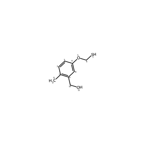 Cc1ccc(OCS)cc1CO